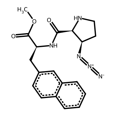 COC(=O)[C@H](Cc1ccc2ccccc2c1)NC(=O)[C@H]1NCC[C@H]1N=[N+]=[N-]